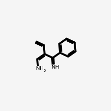 C=C/C(=C/N)C(=N)c1ccccc1